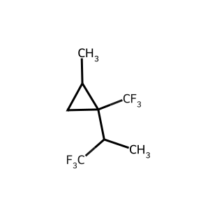 CC1CC1(C(C)C(F)(F)F)C(F)(F)F